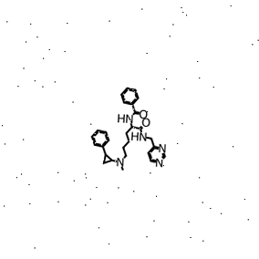 CN(CCCCC(NC(=O)c1ccccc1)C(=O)NCc1ccncn1)C1CC1c1ccccc1